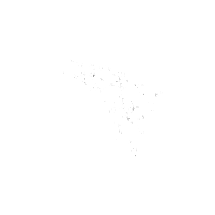 O=C(O[C@@H]1CC[C@@]2(S(=O)(=O)c3ccc(Cl)cc3)c3c(F)ccc(F)c3OC[C@H]2C1)N1C2CCC1CN(CCO)C2